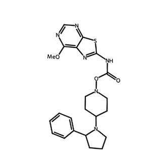 COc1ncnc2sc(NC(=O)ON3CCC(N4CCCC4c4ccccc4)CC3)nc12